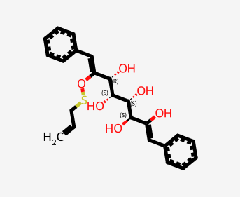 C=CCSOC(=Cc1ccccc1)[C@H](O)[C@@H](O)[C@H](O)[C@H](O)C(O)=Cc1ccccc1